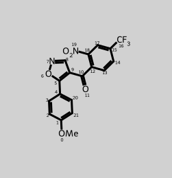 COc1ccc(-c2oncc2C(=O)c2ccc(C(F)(F)F)cc2[N+](=O)[O-])cc1